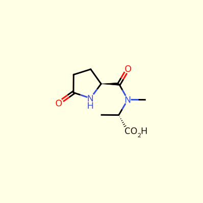 C[C@@H](C(=O)O)N(C)C(=O)[C@@H]1CCC(=O)N1